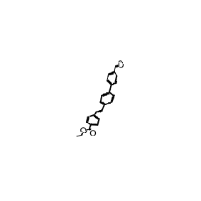 CCOC(=O)c1ccc(C=Cc2ccc(-c3ccc(C=O)cc3)cc2)cc1